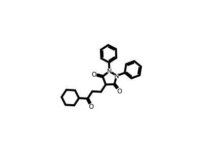 O=C(CCC1C(=O)N(c2ccccc2)N(c2ccccc2)C1=O)C1CCCCC1